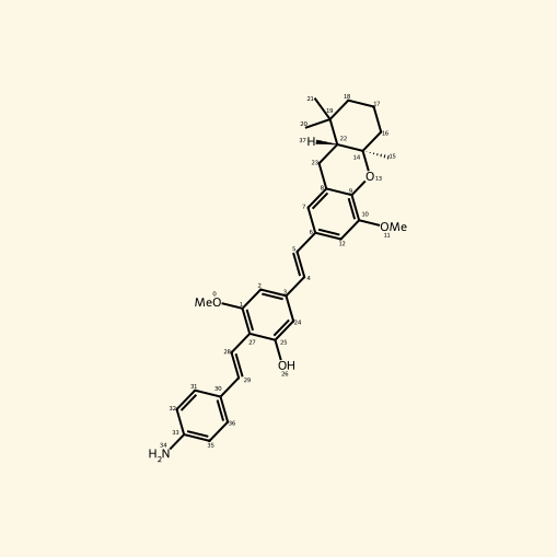 COc1cc(/C=C/c2cc3c(c(OC)c2)O[C@]2(C)CCCC(C)(C)[C@H]2C3)cc(O)c1/C=C/c1ccc(N)cc1